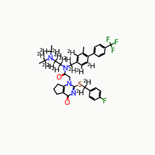 [2H]c1c([2H])c(C([2H])([2H])N(C(=O)Cn2c(SC([2H])([2H])c3ccc(F)cc3)nc(=O)c3c2CCC3)C([2H])([2H])C([2H])([2H])N(C([2H])([2H])C)C([2H])([2H])C)c([2H])c(C)c1-c1ccc(C(F)(F)F)cc1